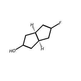 OC1C[C@@H]2CC(F)C[C@@H]2C1